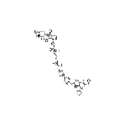 CC(=O)C1=C(C)c2cnc(Nc3ccc(N4CCN(CC(=O)NCCCCNC(=O)COc5cccc6c5C(=O)N(C5CCC(=O)NC5=O)C6=O)CC4)cn3)nc2N(C2CCCC2)C1